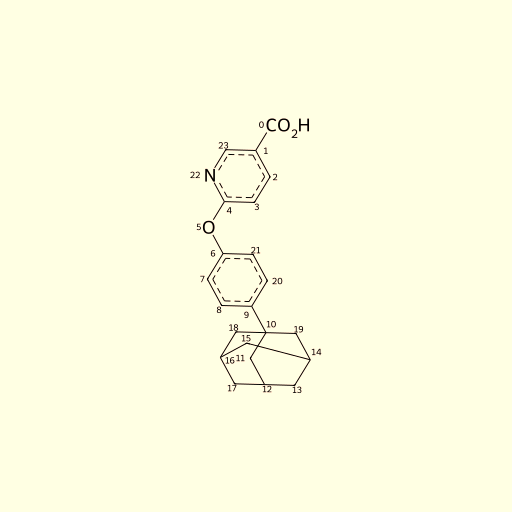 O=C(O)c1ccc(Oc2ccc(C34CC5CC(CC(C5)C3)C4)cc2)nc1